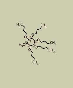 CCCCO[C@@H]1[C@@H](OCCCC)[C@H](OCCCC)[C@@H](C)[C@@H](OCCCC)[C@H]1OCCCC